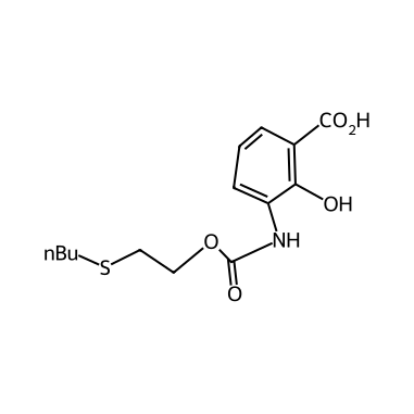 CCCCSCCOC(=O)Nc1cccc(C(=O)O)c1O